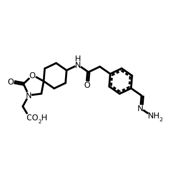 NN=Cc1ccc(CC(=O)NC2CCC3(CC2)CN(CC(=O)O)C(=O)O3)cc1